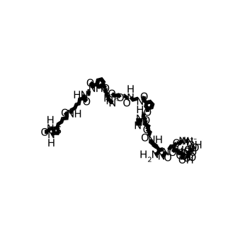 [N-]=[N+]=NCOC1CC(n2cc(C#CCNC(=O)COCCOC(COc3cccc(C(=O)NCCNC(=O)COCCOC(COc4cccc(C(=O)NCCNC(=O)CCCCCNC(=O)CCCCC5SCC6NC(=O)NC65)c4)N=[N+]=[N-])c3)N=[N+]=[N-])c(N)nc2=O)OC1COP(=O)(O)OP(=O)(O)OP(=O)(O)O